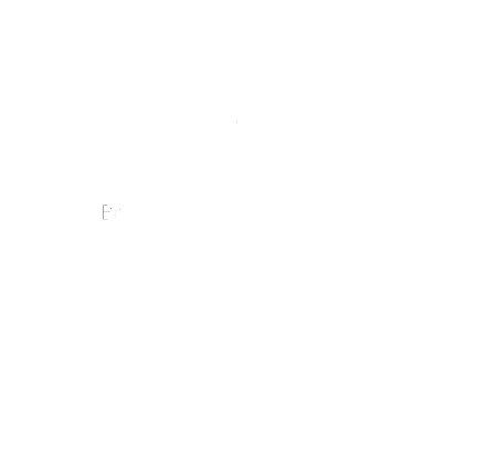 CC1(C)CC(Br)=C(c2ccccc2)c2ccccc21